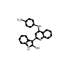 Nc1ccc(Nc2cc(-c3c(O)[nH]c4ccccc34)nc3ccccc23)cc1